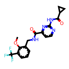 COc1c(CNC(=O)c2ccnc(NC(=O)C3CC3)n2)cccc1C(F)(F)F